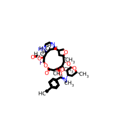 C#Cc1ccc(CN(C)[C@H]2C[C@@H](C)O[C@@H](O[C@@H]3[C@@H](C)C(=O)[C@@H](C)C(=O)O[C@H](I)[C@@](C)(OC=O)[C@@H]4NCCN=C([C@@H]5CO[C@]3(C)C5)[C@@H]4C)[C@H]2O)cc1